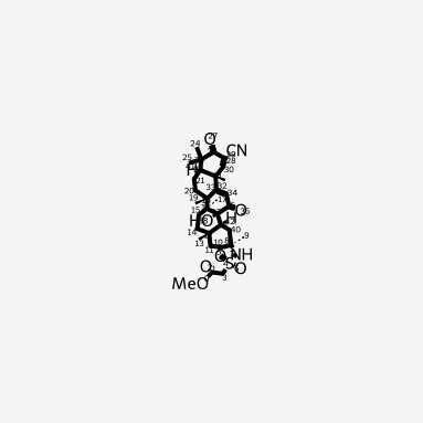 COC(=O)CS(=O)(=O)N[C@@]1(C)CC[C@]2(C)CC[C@@]3(C)[C@]4(C)CC[C@H]5C(C)(C)C(=O)C(C#N)=C[C@]5(C)C4=CC(=O)[C@]3(O)[C@@H]2C1